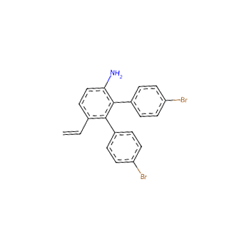 C=Cc1ccc(N)c(-c2ccc(Br)cc2)c1-c1ccc(Br)cc1